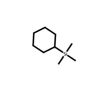 C[Si](C)(C)[C]1CCCCC1